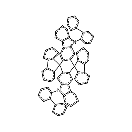 c1ccc(-c2ccccc2-n2c3ccccc3c3cc4c(cc32)C2(c3ccccc3-c3ccccc32)c2cc3c5ccccc5n(-c5ccccc5-c5ccccc5)c3cc2C42c3ccccc3-c3ccccc32)cc1